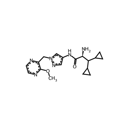 COc1nccnc1Cn1cc(NC(=O)[C@@H](N)C(C2CC2)C2CC2)cn1